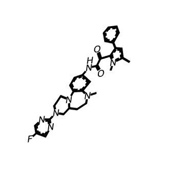 Cc1cc(-c2ccccc2)c(C(=O)C(=O)Nc2ccc3c(c2)N(C)CCC2CN(c4ncc(F)cn4)CCN32)n1C